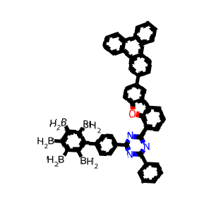 Bc1c(B)c(B)c(-c2ccc(-c3nc(-c4ccccc4)nc(-c4cccc5c4oc4ccc(-c6ccc7c8ccccc8c8ccccc8c7c6)cc45)n3)cc2)c(B)c1B